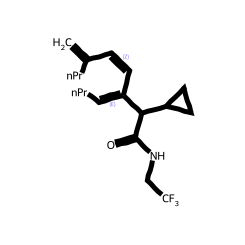 C=C(/C=C\C(=C/CCC)C(C(=O)NCC(F)(F)F)C1CC1)CCC